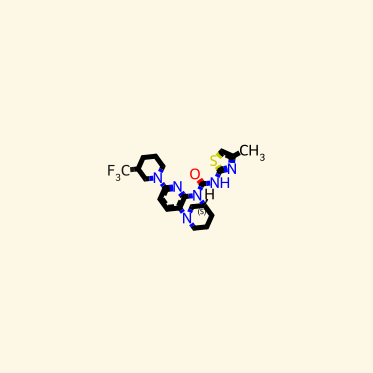 Cc1csc(NC(=O)N2c3nc(N4CCCC(C(F)(F)F)C4)ccc3N3CCC[C@H]2C3)n1